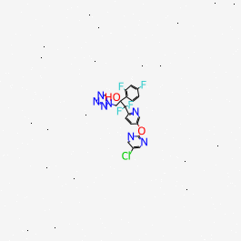 OC(Cn1cnnn1)(c1ccc(F)cc1F)C(F)(F)c1ccc(Oc2ncc(Cl)cn2)cn1